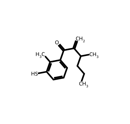 C=C(C(=O)c1cccc(S)c1C)C(C)CCC